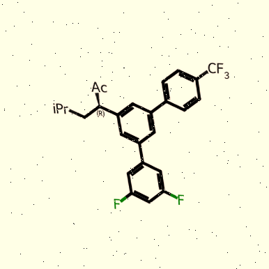 CC(=O)[C@H](CC(C)C)c1cc(-c2ccc(C(F)(F)F)cc2)cc(-c2cc(F)cc(F)c2)c1